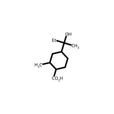 CCC(C)(O)C1CCC(C(=O)O)C(C)C1